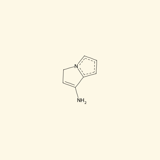 NC1=CCn2cccc21